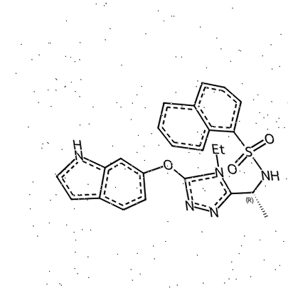 CCn1c(Oc2ccc3cc[nH]c3c2)nnc1[C@@H](C)NS(=O)(=O)c1cccc2ccccc12